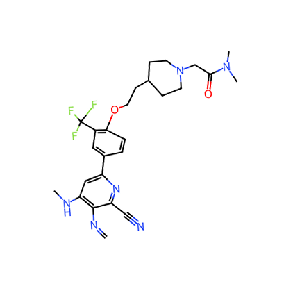 C=Nc1c(NC)cc(-c2ccc(OCCC3CCN(CC(=O)N(C)C)CC3)c(C(F)(F)F)c2)nc1C#N